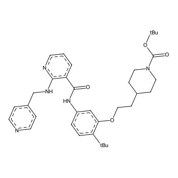 CC(C)(C)OC(=O)N1CCC(CCOc2cc(NC(=O)c3cccnc3NCc3ccncc3)ccc2C(C)(C)C)CC1